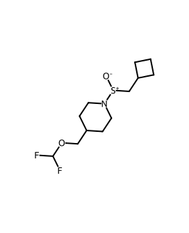 [O-][S+](CC1CCC1)N1CCC(COC(F)F)CC1